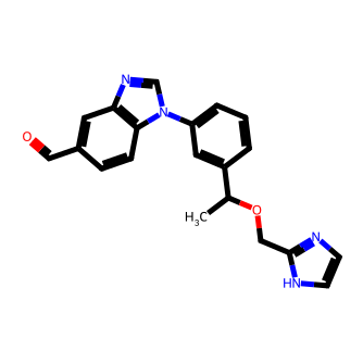 CC(OCc1ncc[nH]1)c1cccc(-n2cnc3cc(C=O)ccc32)c1